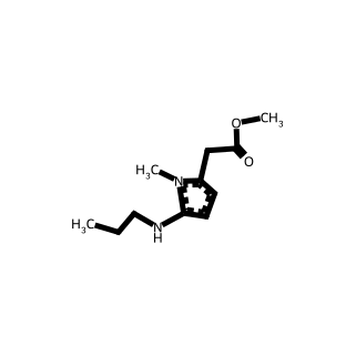 CCCNc1ccc(CC(=O)OC)n1C